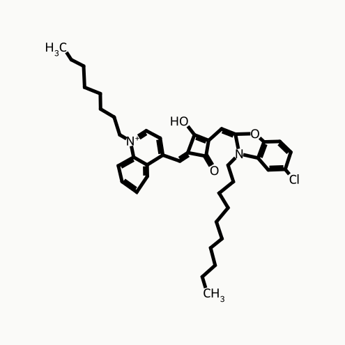 CCCCCCCCCCN1/C(=C\C2=C(O)C(=C\c3cc[n+](CCCCCCCC)c4ccccc34)/C2=O)Oc2ccc(Cl)cc21